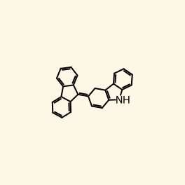 C1=Cc2[nH]c3ccccc3c2CC1=C1c2ccccc2-c2ccccc21